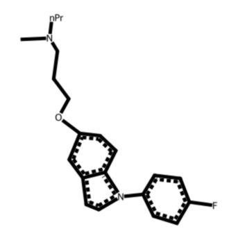 CCCN(C)CCCOc1ccc2c(ccn2-c2ccc(F)cc2)c1